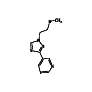 CSCCn1cnc(-c2cccnc2)n1